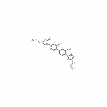 CC(=O)NC[C@H]1CN(c2ccc(-c3ccc(-n4ccc(C=NO)c4)c(F)c3)c(F)c2)C(=O)O1